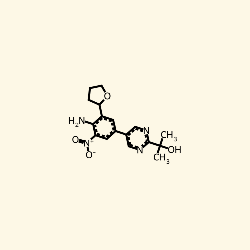 CC(C)(O)c1ncc(-c2cc(C3CCCO3)c(N)c([N+](=O)[O-])c2)cn1